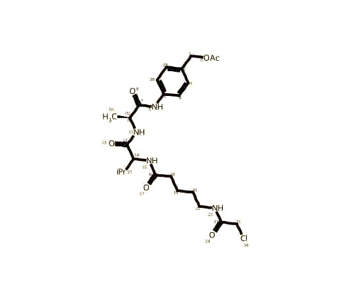 CC(=O)OCc1ccc(NC(=O)[C@H](C)NC(=O)C(NC(=O)CCCCNC(=O)CCl)C(C)C)cc1